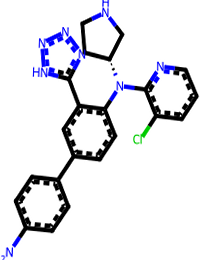 Nc1ccc(-c2ccc(N(c3ncccc3Cl)[C@@H]3CCNC3)c(-c3nnn[nH]3)c2)cc1